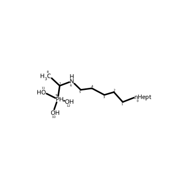 CCCCCCCCCCCCNC(C)[PH](O)(O)O